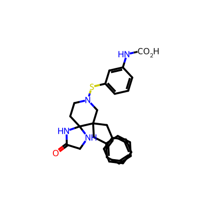 O=C(O)Nc1cccc(SN2CCC3(NCC(=O)N3)C(Cc3ccccc3)(Cc3ccccc3)C2)c1